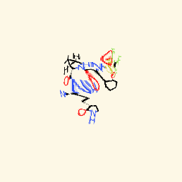 CC1(C)[C@@H]2[C@@H](C(=O)N[C@H](C#N)CC[C@@H]3CCNC3=O)N(C(=O)[C@@H](NS(=O)(=O)C(F)(F)F)C3CCCCC3)C[C@@H]21